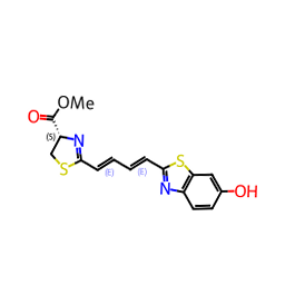 COC(=O)[C@H]1CSC(/C=C/C=C/c2nc3ccc(O)cc3s2)=N1